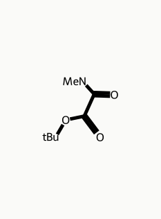 CNC(=O)C(=O)OC(C)(C)C